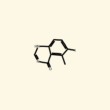 Cc1c(I)ccc2[nH]cnc(=O)c12